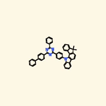 CC1(C)c2ccccc2-c2c1ccc1c3ccccc3n(-c3ccc(-c4nc(-c5ccccc5)nc(-c5ccc(-c6ccccc6)cc5)n4)cc3)c21